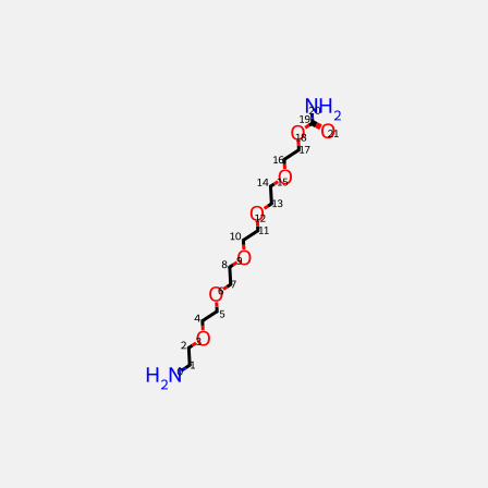 NCCOCCOCCOCCOCCOCCOC(N)=O